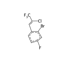 Fc1ccc(C=C(Cl)C(F)(F)F)c(Br)c1